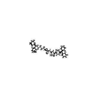 O=C(CNCC(=O)N1CCN(C(c2ccccc2)c2ccccc2)CC1)OCCCCCCC(c1cccnc1)c1cccnc1